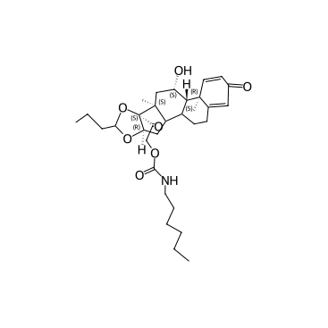 CCCCCCNC(=O)OCC(=O)[C@@]12OC(CCC)O[C@@H]1CC1C3CCC4=CC(=O)C=C[C@]4(C)[C@H]3[C@@H](O)C[C@@]12C